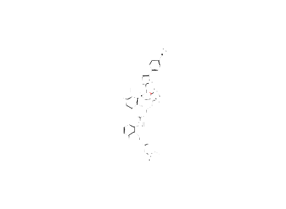 CCN(C)CC(=O)OCc1c(Cl)cccc1NC(=O)OCC[N+]1(C[C@](O)(c2cc(F)ccc2F)[C@@H](C)c2nc(-c3ccc(C#N)cc3)cs2)C=NC=N1